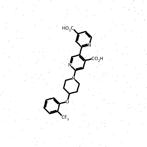 O=C(O)c1ccnc(-c2cnc(N3CCC(Oc4ccccc4C(F)(F)F)CC3)cc2C(=O)O)c1